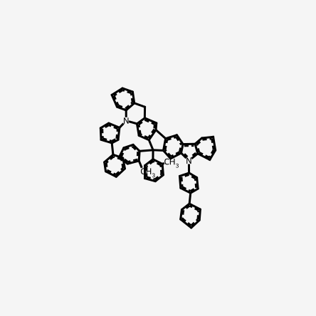 Cc1ccccc1C1(c2ccccc2C)c2cc3c(cc2-c2cc4c5ccccc5n(-c5ccc(-c6ccccc6)cc5)c4cc21)Cc1ccccc1N3c1cccc(-c2ccccc2)c1